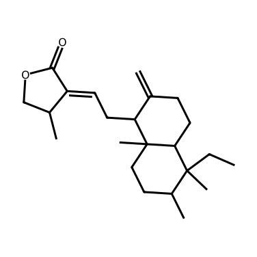 C=C1CCC2C(C)(CC)C(C)CCC2(C)C1C/C=C1/C(=O)OCC1C